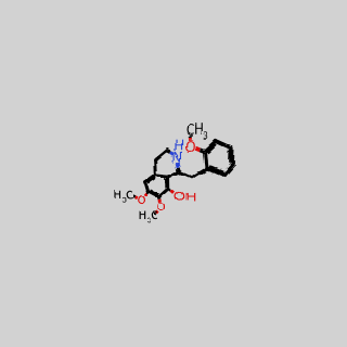 COc1ccccc1CC1NCCc2cc(OC)c(OC)c(O)c21